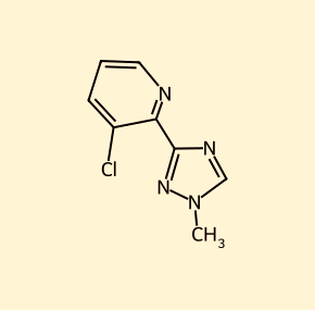 Cn1cnc(-c2ncccc2Cl)n1